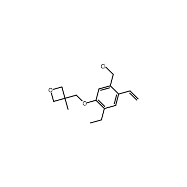 C=Cc1cc(CC)c(OCC2(C)COC2)cc1CCl